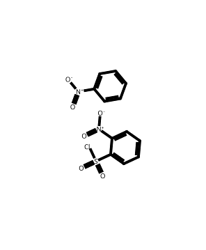 O=[N+]([O-])c1ccccc1.O=[N+]([O-])c1ccccc1S(=O)(=O)Cl